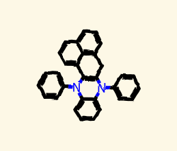 c1ccc(N2C3=C(c4cccc5cccc(c45)C3)N(c3ccccc3)c3ccccc32)cc1